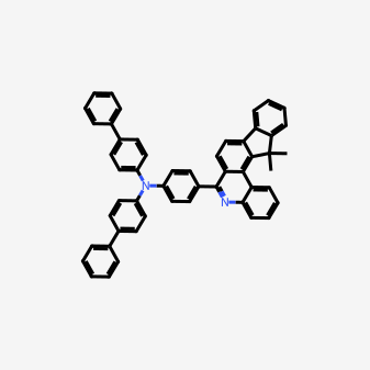 CC1(C)c2ccccc2-c2ccc3c(-c4ccc(N(c5ccc(-c6ccccc6)cc5)c5ccc(-c6ccccc6)cc5)cc4)nc4ccccc4c3c21